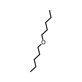 [CH2]CCCCOCCCCC